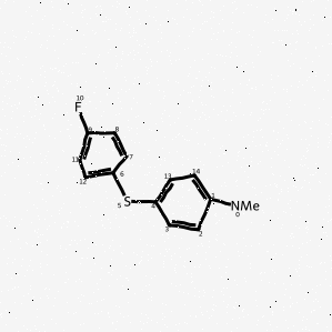 CNc1ccc(Sc2ccc(F)cc2)cc1